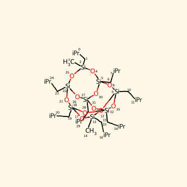 CC(C)C[Si]1(C)O[Si]2(CC(C)C)O[Si]3(CC(C)C)O[Si](C)(CC(C)C)O[Si]4(CC(C)C)O[Si](CC(C)C)(O1)O[Si](CC(C)C)(O2)O[Si](CC(C)C)(O3)O4